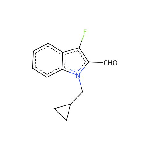 O=Cc1c(F)c2ccccc2n1CC1CC1